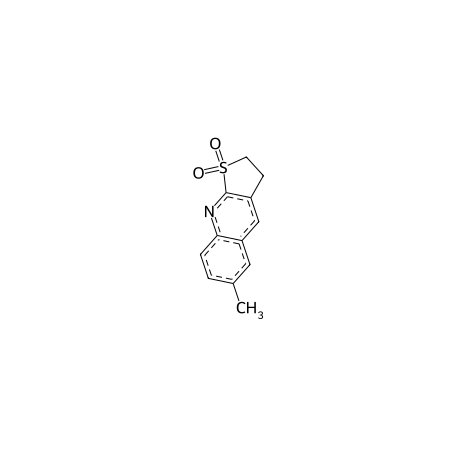 Cc1ccc2nc3c(cc2c1)CCS3(=O)=O